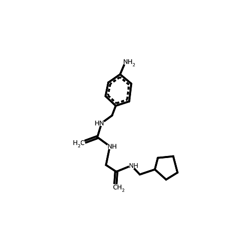 C=C(CNC(=C)NCc1ccc(N)cc1)NCC1CCCC1